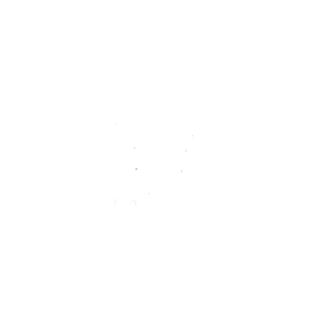 C=CCO.O=S(=O)(O)c1cccc(O)c1